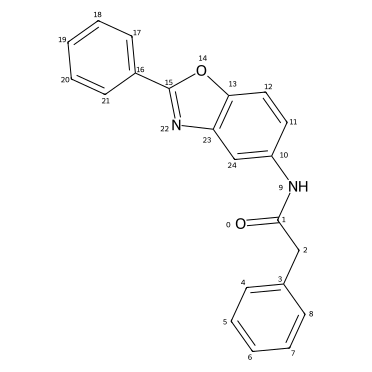 O=C(Cc1ccccc1)Nc1ccc2oc(-c3ccccc3)nc2c1